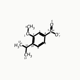 COc1cc([N+](=O)[O-])ccc1C(C)C